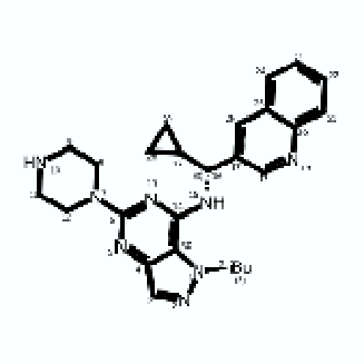 CC[C@H](C)n1ncc2nc(N3CCNCC3)nc(N[C@@H](c3cnc4ccccc4c3)C3CC3)c21